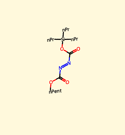 CCCCCOC(=O)/N=N/C(=O)O[Si](CCC)(CCC)CCC